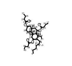 CCCC[C@@H](C)[C@H]1CC[C@H]2[C@@H]3[C@H](OC(=O)CCC)C[C@@H]4C[C@H](OC(=O)CCC)CC[C@]4(C)[C@H]3C[C@H](OC(=O)CCC)[C@]12C